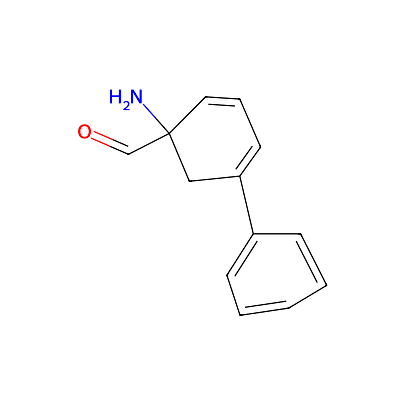 NC1(C=O)C=CC=C(c2ccccc2)C1